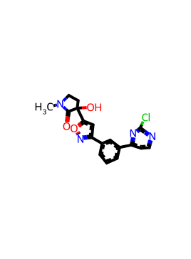 CN1CCC(O)(c2cc(-c3cccc(-c4ccnc(Cl)n4)c3)no2)C1=O